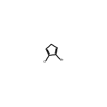 CC(C)C1=CCC=C1Cl